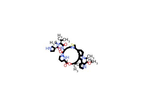 CCn1c(-c2cccnc2[C@H](C)OC)c2c3cc(ccc31)C1CSC(=N1)C[C@H](NC(=O)[C@H](C(C)C)N(C)C(=O)[C@H]1CCNC1)C(=O)N1CCC[C@H](N1)C(=O)OCC(C)(C)C2